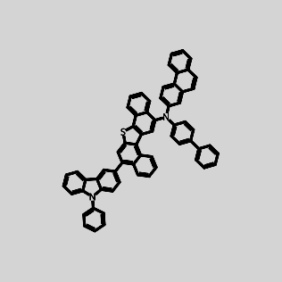 c1ccc(-c2ccc(N(c3ccc4c(ccc5ccccc54)c3)c3cc4c(sc5cc(-c6ccc7c(c6)c6ccccc6n7-c6ccccc6)c6ccccc6c54)c4ccccc34)cc2)cc1